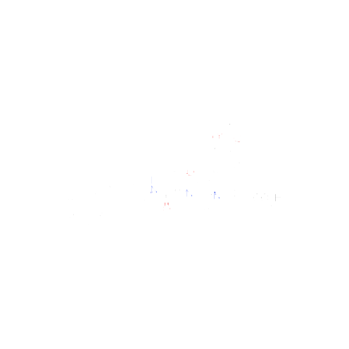 O=C(O)CCc1cc2c(cc1C(c1nc(C(=O)NCCCCC3CCCCC3)co1)N1CCCC1)OCO2